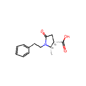 C[C@H]1[C@@H](C(=O)O)CC(=O)N1CCc1ccccc1